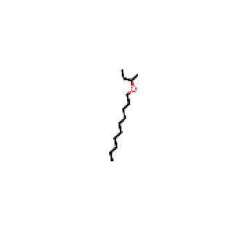 CCCCCCCCCCOC(C)CC